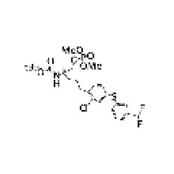 COP(=O)(OC)OC[C@@](C)(CCCc1ccc(Sc2cccc(C(F)F)c2)cc1Cl)NC(=O)OC(C)(C)C